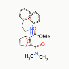 COC(=O)C1=C(C(=O)N(C)C)C2C=CC1(C(Cc1ccccc1)Nc1ccccc1)O2